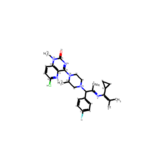 CC/C(C)=C(\N=C(/OC)C(c1ccc(F)cc1)N1CCN(c2nc(=O)n(C)c3ccc(Cl)nc23)C(C)C1)C1CC1